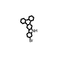 Brc1ccc2c(c1)[nH]c1cc3c4ccccc4c4ccccc4c3cc12